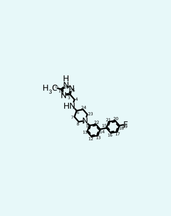 Cc1nc(CNC2CCN(c3cccc(-c4ccc(F)cc4)c3)CC2)n[nH]1